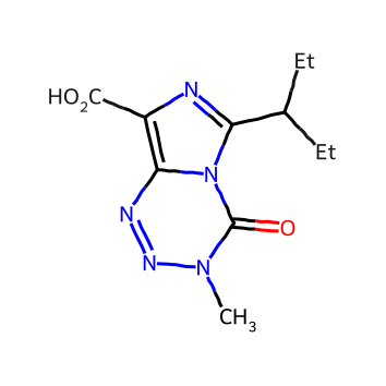 CCC(CC)c1nc(C(=O)O)c2nnn(C)c(=O)n12